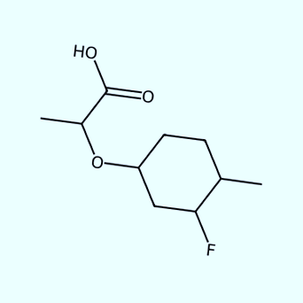 CC(OC1CCC(C)C(F)C1)C(=O)O